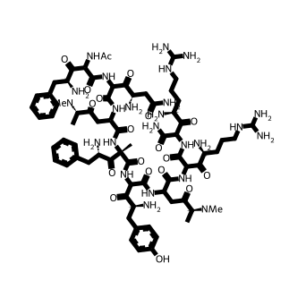 CN[C@@H](C)C(=O)CC(NC(=O)C(NC(=O)C(NC(C)=O)C(=O)[C@@H](N)Cc1ccccc1)C(=O)[C@@H](N)CC(N)=O)C(=O)N[C@](C)(C(=O)NC(C(=O)NC(CC(=O)[C@H](C)NC)C(=O)NC(C(=O)NC(C(N)=O)C(=O)[C@@H](N)CCCNC(N)N)C(=O)[C@@H](N)CCCNC(N)N)C(=O)[C@@H](N)Cc1ccc(O)cc1)C(=O)[C@@H](N)Cc1ccccc1